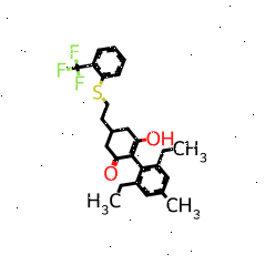 CCc1cc(C)cc(CC)c1C1=C(O)CC(CCSc2ccccc2C(F)(F)F)CC1=O